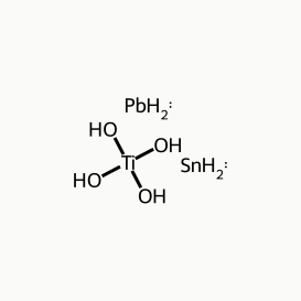 [OH][Ti]([OH])([OH])[OH].[PbH2].[SnH2]